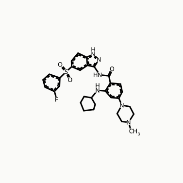 CN1CCN(c2ccc(C(=O)Nc3n[nH]c4ccc(S(=O)(=O)c5cccc(F)c5)cc34)c(NC3CCCCC3)c2)CC1